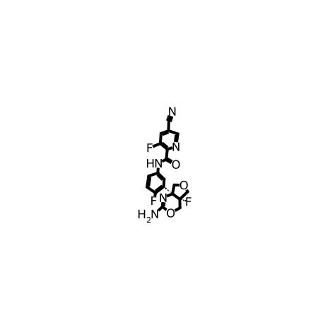 N#Cc1cnc(C(=O)Nc2ccc(F)c([C@]34COC[C@@]3(F)COC(N)=N4)c2)c(F)c1